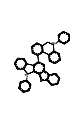 c1ccc([C@H]2Cc3cccc(-c4cc5c(sc6ccccc65)c5c4-c4ccccc4[C@H]5c4ccccc4)c3-c3ccccc32)cc1